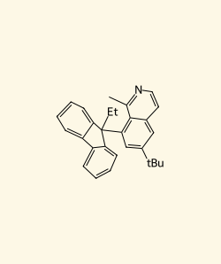 CCC1(c2cc(C(C)(C)C)cc3ccnc(C)c23)c2ccccc2-c2ccccc21